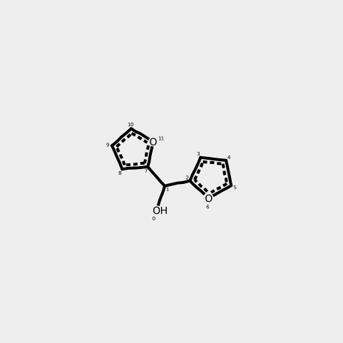 O[C](c1ccco1)c1ccco1